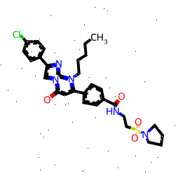 CCCCCn1c(-c2ccc(C(=O)NCCS(=O)(=O)N3CCCC3)cc2)cc(=O)n2cc(-c3ccc(Cl)cc3)nc12